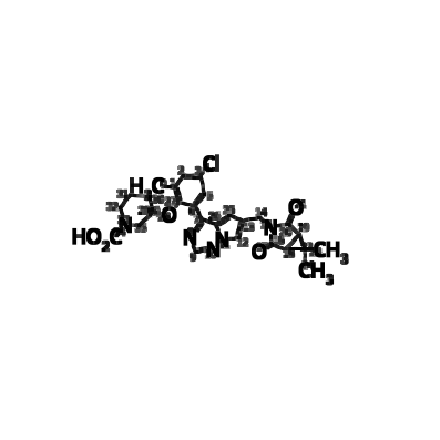 Cc1cc(Cl)cc(-c2ncnn3cc(CN4C(=O)C5C(C4=O)C5(C)C)cc23)c1O[C@H]1CCCN(C(=O)O)C1